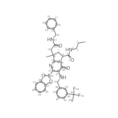 CCCNC(=O)C1CC(C)(CC(=O)NCc2ccccc2)c2nc(B3Oc4ccccc4O3)c(NCc3cccc(C(F)(F)F)c3)c(=O)n21